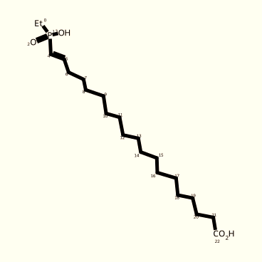 CCP(=O)(O)C=CCCCCCCCCCCCCCCCCC(=O)O